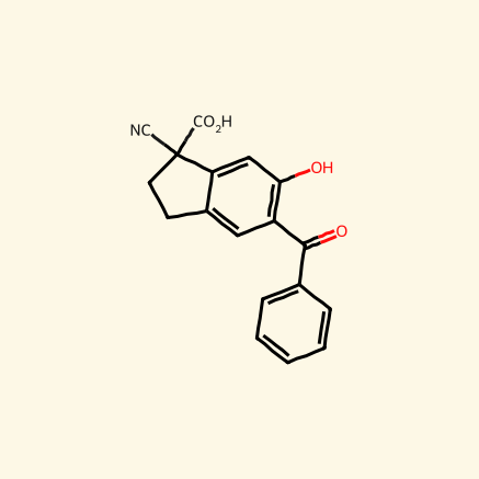 N#CC1(C(=O)O)CCc2cc(C(=O)c3ccccc3)c(O)cc21